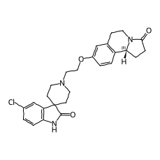 O=C1CC[C@@H]2c3ccc(OCCN4CCC5(CC4)C(=O)Nc4ccc(Cl)cc45)cc3CCN12